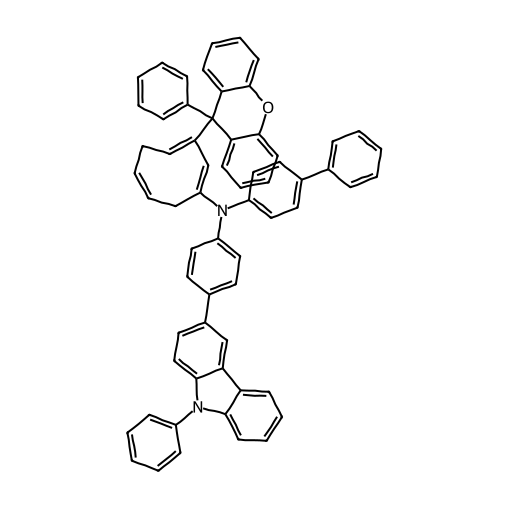 C1=C\C/C(N(c2ccc(-c3ccccc3)cc2)c2ccc(-c3ccc4c(c3)c3ccccc3n4-c3ccccc3)cc2)=C\C(C2(c3ccccc3)c3ccccc3Oc3ccccc32)=C\C/1